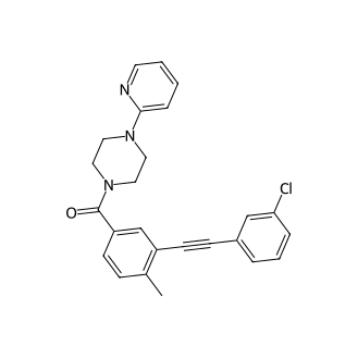 Cc1ccc(C(=O)N2CCN(c3ccccn3)CC2)cc1C#Cc1cccc(Cl)c1